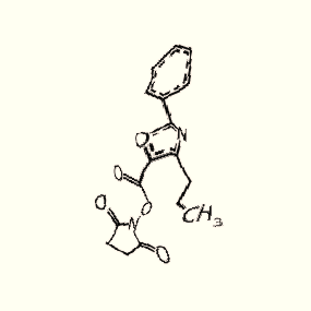 CCCc1nc(-c2ccccc2)oc1C(=O)ON1C(=O)CCC1=O